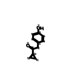 O=C(Cc1ccc(O)cc1)C1CC1